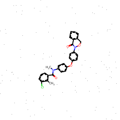 Cc1c(Cl)cccc1C(=O)N(C)c1ccc(Oc2ccc(N3OCc4ccccc4C3=O)cc2)cc1